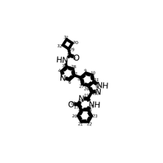 O=C(Nc1cncc(-c2ccc3[nH]nc(-c4nc(=O)c5ccccc5[nH]4)c3c2)c1)C1CCC1